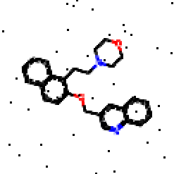 c1ccc2ncc(COc3ccc4ccccc4c3CCN3CCOCC3)cc2c1